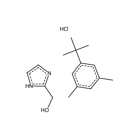 Cc1cc(C)cc(C(C)(C)C)c1.Cl.OCc1ncc[nH]1